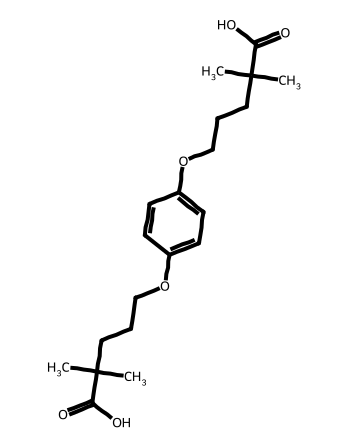 CC(C)(CCCOc1ccc(OCCCC(C)(C)C(=O)O)cc1)C(=O)O